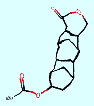 CCC(C)C(=O)OC1CC2CC1C1C3CC(C4COC(=O)C43)C21